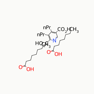 CCCCCCCC(=O)O.CCCCCCCC(=O)O.CCCc1c(C(=O)O)cnc(C(=O)O)c1CCC